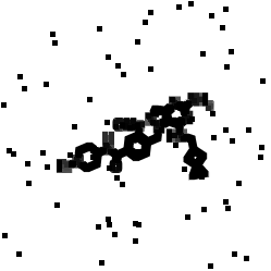 CCN1CCC(NC(=O)c2ccc(Cn3ncc4nc(N)nc(NCC5CC6(CC6)C5)c43)c(OC)c2)CC1